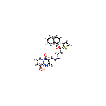 Cc1nc2n(c(=O)c1CCN(C)CC[C@H](Oc1cccc3ccccc13)c1cccs1)CCCC2O